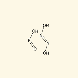 O=PO.ON=NO